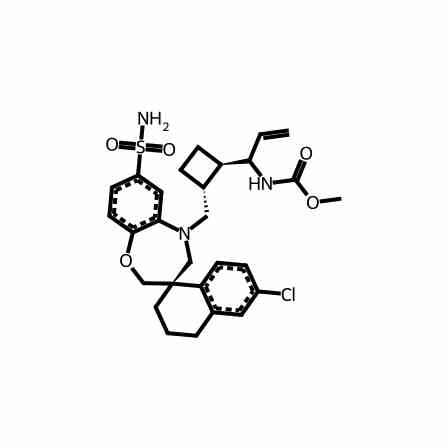 C=CC(NC(=O)OC)[C@@H]1CC[C@H]1CN1C[C@@]2(CCCc3cc(Cl)ccc32)COc2ccc(S(N)(=O)=O)cc21